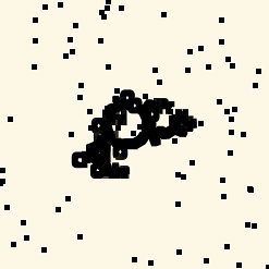 COc1ccc(C[C@H]2NC(=O)/C=C/C[C@@H](C(C)/C=C/c3cnn(C)c3)OC(=O)[C@H](CC(C)C)OC(=O)[C@H](C)CNC2=O)cc1Cl